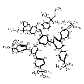 CCCC(C)(C)c1ccc2c(c1)Oc1cc(C(C)(C)CCC)ccc1N2c1cc(-c2cc(-c3ccc(C(C)(C)C)cc3)cc(-c3ccc(C(C)(C)C)cc3)c2)cc(-c2cc(-c3ccc(C(C)(C)C)cc3)cc(-c3ccc(C(C)(C)C)cc3)c2)c1